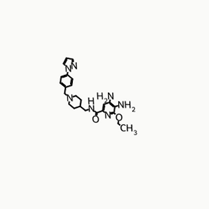 CCOc1nc(C(=O)NCC2CCN(Cc3ccc(-n4cccn4)cc3)CC2)cc(N)c1N